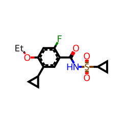 CCOc1cc(F)c(C(=O)NS(=O)(=O)C2CC2)cc1C1CC1